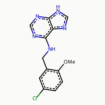 COc1ccc(Cl)cc1CNc1ncnc2[nH]cnc12